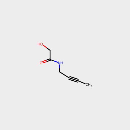 CC#CCNC(=O)CO